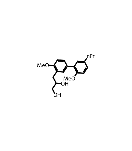 CCCc1ccc(OC)c(-c2ccc(OC)c(CC(O)CO)c2)c1